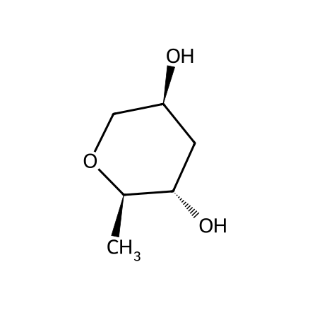 C[C@H]1OC[C@@H](O)C[C@@H]1O